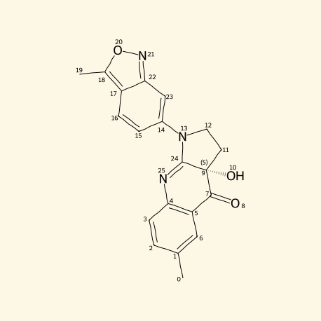 Cc1ccc2c(c1)C(=O)[C@]1(O)CCN(c3ccc4c(C)onc4c3)C1=N2